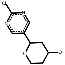 [O]C1CCOC(c2cnc(Cl)nc2)C1